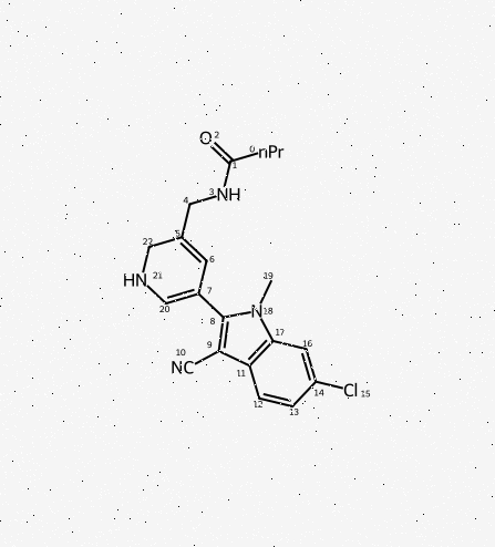 CCCC(=O)NCC1=CC(c2c(C#N)c3ccc(Cl)cc3n2C)=CNC1